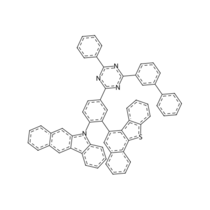 c1ccc(-c2cccc(-c3nc(-c4ccccc4)nc(-c4ccc(-n5c6ccccc6c6cc7ccccc7cc65)c(-c5cc6ccccc6c6sc7ccccc7c56)c4)n3)c2)cc1